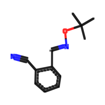 CC(C)(C)O/N=[C]/c1ccccc1C#N